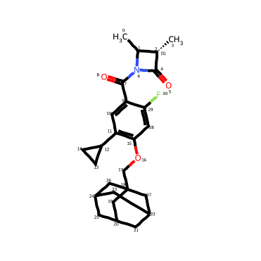 CC1[C@H](C)C(=O)N1C(=O)c1cc(C2CC2)c(OCC23CC4CC(CC(C4)C2)C3)cc1F